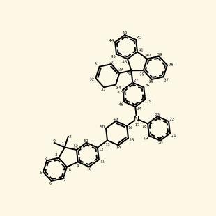 CC1(C)c2ccccc2-c2ccc(C3C=CC(N(c4ccccc4)c4ccc(C5(C6=CC=CCC6)c6ccccc6-c6ccccc65)cc4)=CC3)cc21